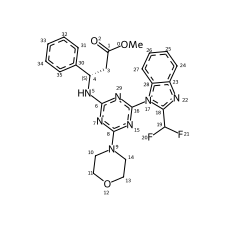 COC(=O)C[C@H](Nc1nc(N2CCOCC2)nc(-n2c(C(F)F)nc3ccccc32)n1)c1ccccc1